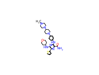 CN1CCN(C2CCN(c3ccc(Nc4nc(NC5CCOCC5)c(-c5cccs5)nc4C(N)=O)cc3)CC2)CC1